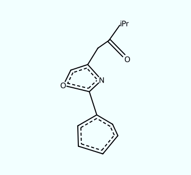 CC(C)C(=O)Cc1coc(-c2ccccc2)n1